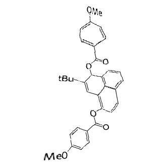 COc1ccc(C(=O)Oc2ccc3cccc4c3c2C=C(C(C)(C)C)C4OC(=O)c2ccc(OC)cc2)cc1